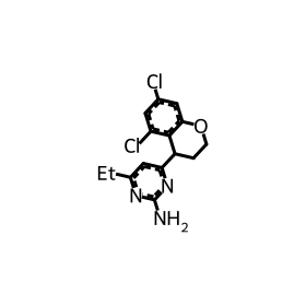 CCc1cc(C2CCOc3cc(Cl)cc(Cl)c32)nc(N)n1